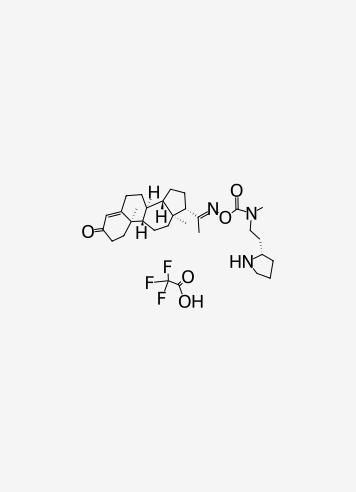 C/C(=N\OC(=O)N(C)CC[C@@H]1CCCN1)[C@H]1CC[C@H]2[C@@H]3CCC4=CC(=O)CC[C@]4(C)[C@H]3CC[C@]12C.O=C(O)C(F)(F)F